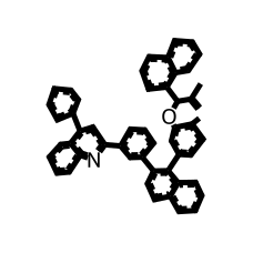 C=C(C)C(Oc1cc(-c2c(-c3cccc(-c4cc(-c5ccccc5)c5ccccc5n4)c3)ccc3ccccc23)ccc1C)c1cccc2ccccc12